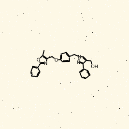 Cc1oc(-c2ccccc2)nc1COc1ccc(Cn2cc(CO)c(-c3ccccc3)n2)cc1